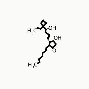 CCCCCCCC1C(=O)C[C@@H](O)[C@@H]1/C=C/C[C@H](O)C1(CCC)CCC1